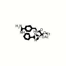 CCO[C@](OC(C)=O)(C(=O)NCc1ccc(C(=N)N)cc1)n1cnc(-c2ccccc2)n1